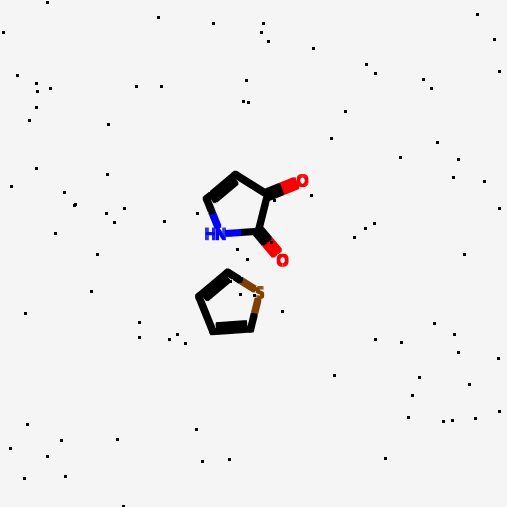 O=C1C=CNC1=O.c1ccsc1